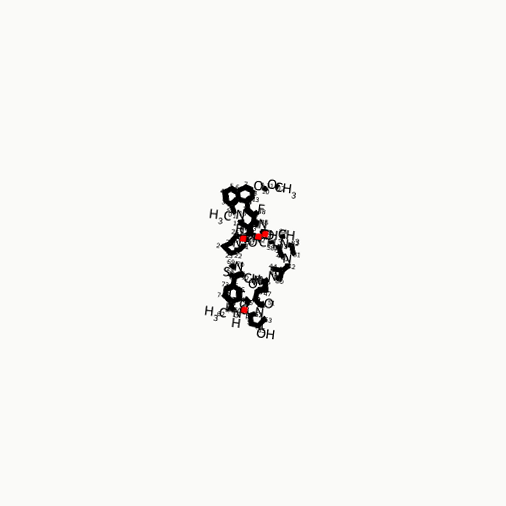 CCc1cccc2cc(OCOC)cc(-c3ncc4c(N5CC6CCC(C5)N6C(=O)OC(C)(C)C)nc(OC[C@H]5CN(CC6CN(c7cc([C@H](C(=O)N8C[C@H](O)C[C@H]8C(=O)N[C@@H](C)c8ccc(-c9scnc9C)cc8)C(C)C)on7)C6)CCN5C)nc4c3F)c12